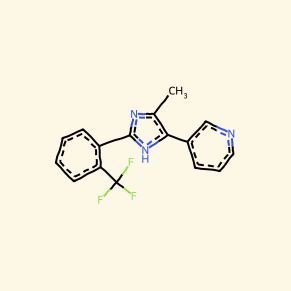 Cc1nc(-c2ccccc2C(F)(F)F)[nH]c1-c1cccnc1